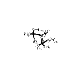 CC(C)(C)[P](=O)C(C)(C)C